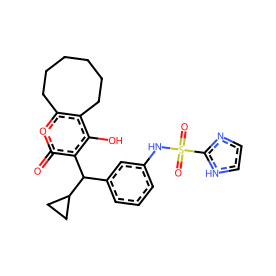 O=c1oc2c(c(O)c1C(c1cccc(NS(=O)(=O)c3ncc[nH]3)c1)C1CC1)CCCCCC2